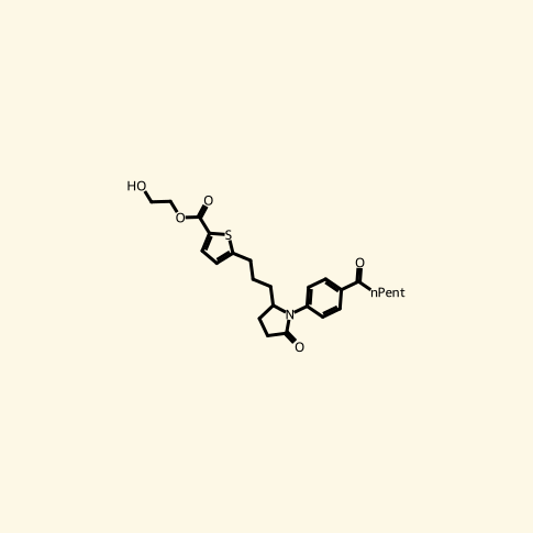 CCCCCC(=O)c1ccc(N2C(=O)CCC2CCCc2ccc(C(=O)OCCO)s2)cc1